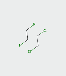 ClCCCl.FCCF